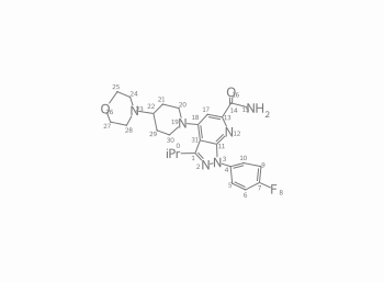 CC(C)c1nn(-c2ccc(F)cc2)c2nc(C(N)=O)cc(N3CCC(N4CCOCC4)CC3)c12